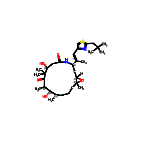 C/C(=C\c1csc(CC(C)(C)C)n1)[C@@H]1C[C@@H]2O[C@]2(C)CCC[C@H](C)[C@H](O)[C@@H](C)C(=O)C(C)(C)[C@@H](O)CC(=O)N1